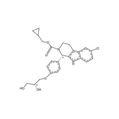 O=C(OCC1CC1)N1CCc2c([nH]c3ccc(Cl)cc23)[C@@H]1c1ccc(OC[C@H](O)CO)cc1